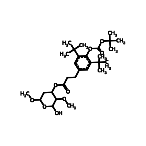 COC1CC(OC(=O)CCc2cc(C(C)(C)C)c(OC(=O)OC(C)(C)C)c(C(C)(C)C)c2)C(OC)C(O)O1